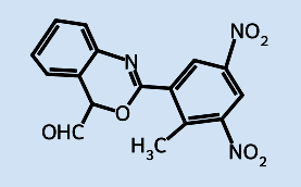 Cc1c(C2=Nc3ccccc3C(C=O)O2)cc([N+](=O)[O-])cc1[N+](=O)[O-]